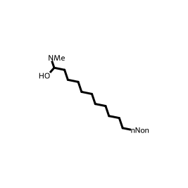 CCCCCCCCCCCCCCCCCCCC(O)NC